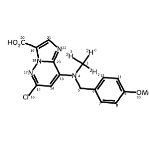 [2H]C([2H])([2H])N(Cc1ccc(OC)cc1)c1cc(Cl)nn2c(C(=O)O)cnc12